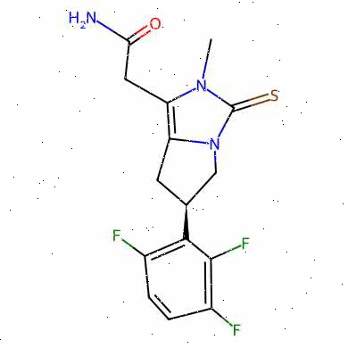 Cn1c(CC(N)=O)c2n(c1=S)C[C@@H](c1c(F)ccc(F)c1F)C2